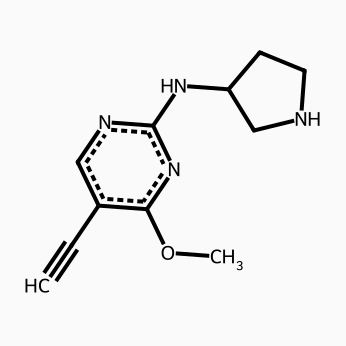 C#Cc1cnc(NC2CCNC2)nc1OC